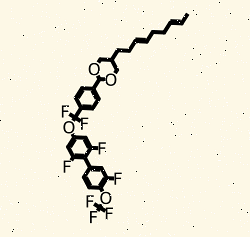 C/C=C/CC/C=C/CCC1COC(c2ccc(C(F)(F)Oc3cc(F)c(-c4ccc(OC(F)(F)F)c(F)c4)c(F)c3)cc2)OC1